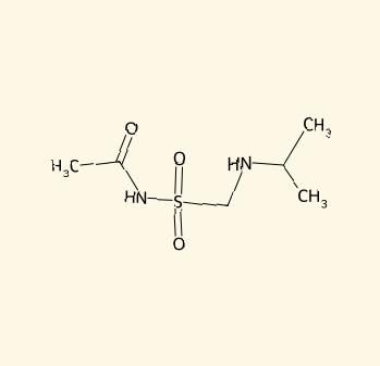 CC(=O)NS(=O)(=O)CNC(C)C